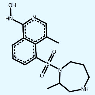 Cc1cnc(NO)c2cccc(S(=O)(=O)N3CCCNCC3C)c12